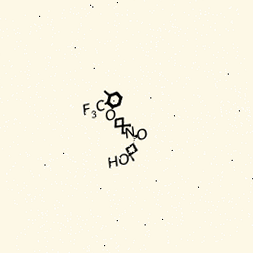 Cc1cccc(OC2CC3(C2)CN(C(=O)[C@H]2C[C@@](C)(O)C2)C3)c1C(F)(F)F